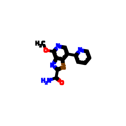 COc1ncc(-c2ccccn2)c2sc(C(N)=O)nc12